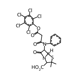 CC1(C)S[C@@H]2C(N(C(=O)CC(=O)Oc3c(Cl)c(Cl)c(Cl)c(Cl)c3Cl)c3ccccc3)C(=O)N2C1C(=O)O